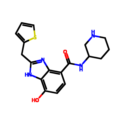 O=C(NC1CCCNC1)c1ccc(O)c2[nH]c(Cc3cccs3)nc12